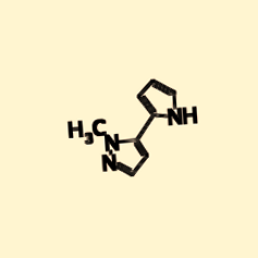 Cn1nccc1-c1ccc[nH]1